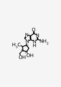 CC1[C@H](CO)[C@@H](O)C[C@@H]1n1cnc2c(=O)nc(N)[nH]c21